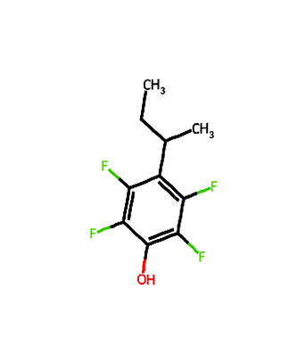 CCC(C)c1c(F)c(F)c(O)c(F)c1F